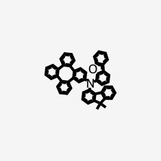 CC1(C)c2ccccc2-c2c(N(c3ccc4c(c3)-c3ccccc3-c3ccccc3-c3ccccc3-4)c3cccc4c3oc3ccccc34)cccc21